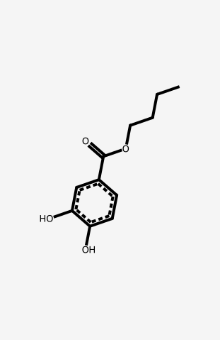 CCCCOC(=O)c1ccc(O)c(O)c1